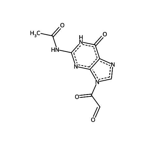 CC(=O)Nc1nc2c(ncn2C(=O)C=O)c(=O)[nH]1